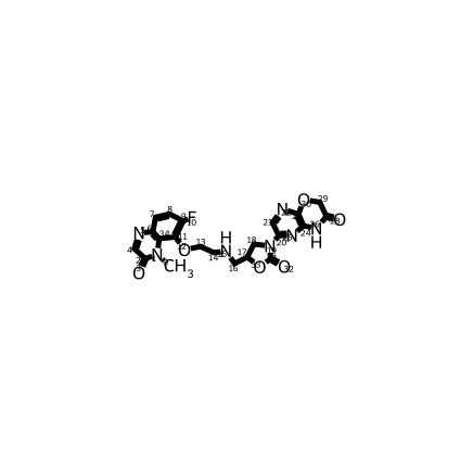 Cn1c(=O)cnc2ccc(F)c(OCCNCC3CN(c4cnc5c(n4)NC(=O)CO5)C(=O)O3)c21